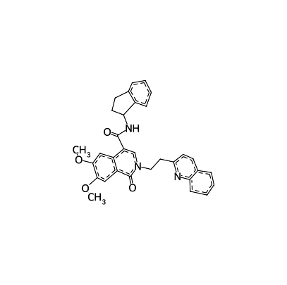 COc1cc2c(C(=O)NC3CCc4ccccc43)cn(CCc3ccc4ccccc4n3)c(=O)c2cc1OC